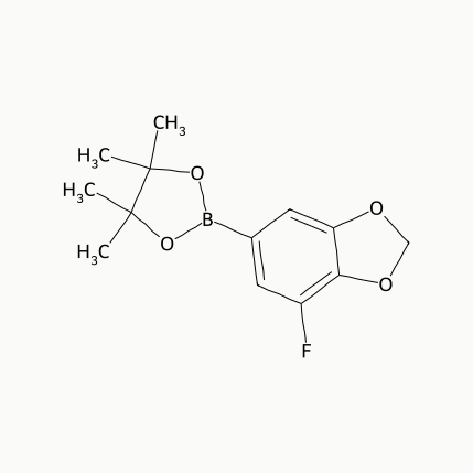 CC1(C)OB(c2cc(F)c3c(c2)OCO3)OC1(C)C